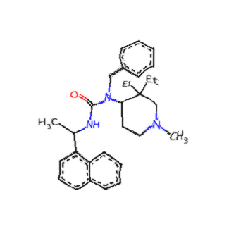 CCC1(CC)CN(C)CCC1N(Cc1ccccc1)C(=O)NC(C)c1cccc2ccccc12